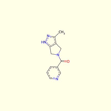 Cc1n[nH]c2c1CN(C(=O)c1cccnc1)C2